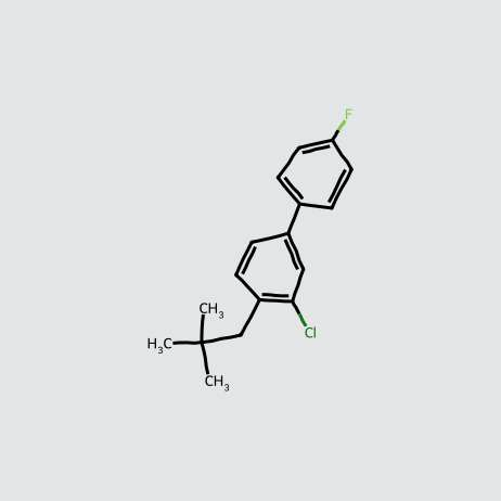 CC(C)(C)Cc1ccc(-c2ccc(F)cc2)cc1Cl